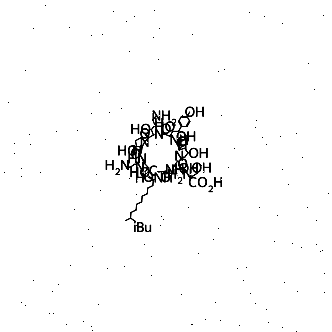 CCC(C)CC(C)CCCCCCCCC(=O)N[C@H]1C[C@@H](O)[C@H](NCCN)NC(=O)[C@@H]2[C@@H](O)CCN2C(=O)[C@H]([C@@H](O)CCN)NC(=O)[C@H]([C@H](O)[C@@H](O)c2ccc(O)cc2)NC(=O)[C@@H]2C[C@@H](O)CN2C(=O)[C@H]([C@@H](C)O)NC1=O.NC(CO)C(=O)O